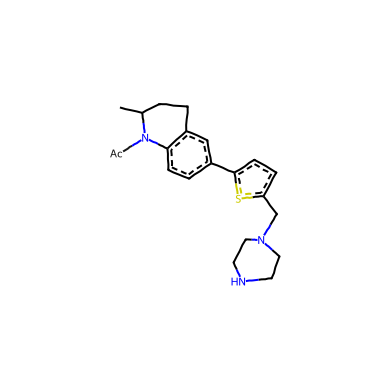 CC(=O)N1c2ccc(-c3ccc(CN4CCNCC4)s3)cc2CCC1C